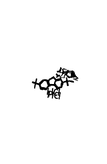 C[CH](C)[Zr](=[SiH2])([C]1=CC=CC1)([c]1c(C(C)(C)C)ccc2c1Cc1cc(C(C)(C)C)ccc1-2)[CH](C)C.Cl.Cl